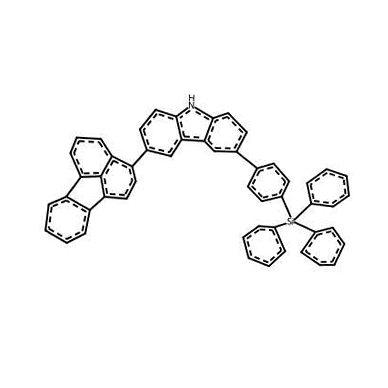 c1ccc([Si](c2ccccc2)(c2ccccc2)c2ccc(-c3ccc4[nH]c5ccc(-c6ccc7c8c(cccc68)-c6ccccc6-7)cc5c4c3)cc2)cc1